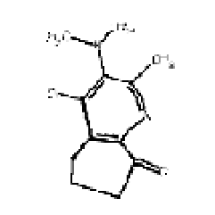 Cc1nc2c(c(Cl)c1N(C)C)CCCC2=O